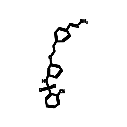 N#Cc1ccccc1S(=O)(=O)Nc1cccc(OCCc2ccc(C=NN)cc2)c1